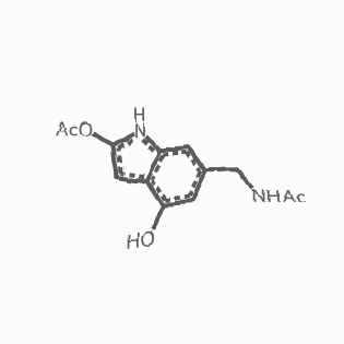 CC(=O)NCc1cc(O)c2cc(OC(C)=O)[nH]c2c1